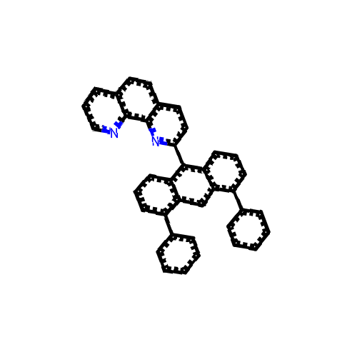 c1ccc(-c2cccc3c(-c4ccc5ccc6cccnc6c5n4)c4cccc(-c5ccccc5)c4cc23)cc1